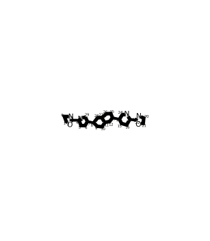 c1coc(-c2ccc(-c3ccc4cc(-c5ccc(-c6ncco6)nc5)ccc4c3)cn2)n1